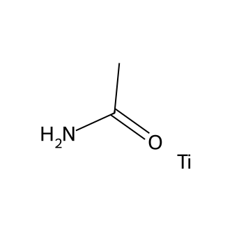 CC(N)=O.[Ti]